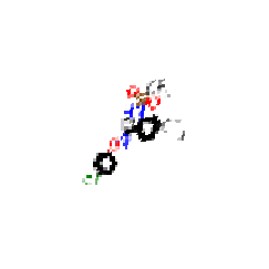 CC/C(=N\Oc1ccc(Cl)cc1)c1ccc(C(F)(F)F)cc1NS(=O)(=O)C(F)(F)F